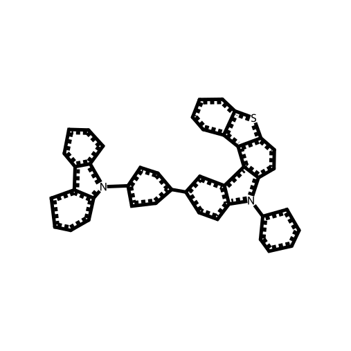 c1ccc(-n2c3ccc(-c4ccc(-n5c6ccccc6c6ccccc65)cc4)cc3c3c4c(ccc32)sc2ccccc24)cc1